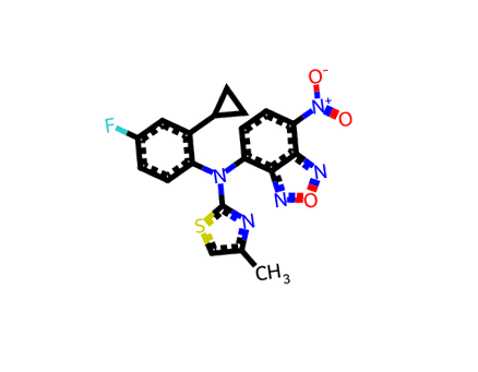 Cc1csc(N(c2ccc(F)cc2C2CC2)c2ccc([N+](=O)[O-])c3nonc23)n1